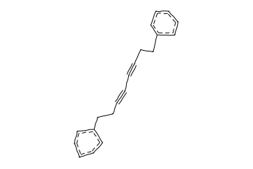 C(C#CCCc1ccccc1)#CCCc1ccccc1